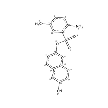 Cc1ccc([N+](=O)[O-])c(S(=O)(=O)Oc2ccc3nc(C#N)ccc3c2)c1